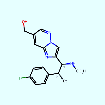 CC[C@@H](c1ccc(F)cc1)[C@H](NC(=O)O)c1cn2ncc(CO)cc2n1